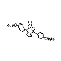 COc1ccc(C(=O)C2=CC=C/C2=C(/O)c2ccc(OC)cc2)cc1